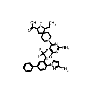 CCC1NC(C(=O)O)CC12CCN(c1cc(O[C@H](c3cc(-c4ccccc4)ccc3-n3ccc(C)n3)C(F)(F)F)nc(N)n1)CC2